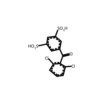 O=C(c1cc(S(=O)(=O)O)cc(S(=O)(=O)O)c1)c1c(Cl)cccc1Cl